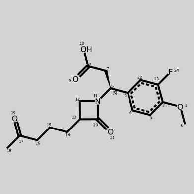 COc1ccc([C@H](CC(=O)O)N2CC(CCCC(C)=O)C2=O)cc1F